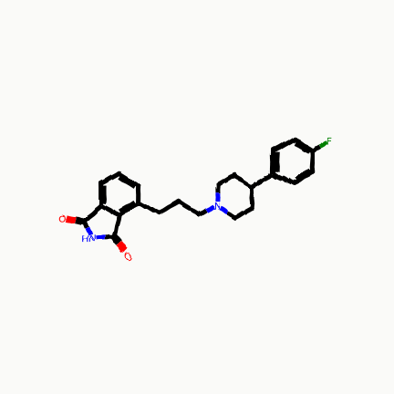 O=C1NC(=O)c2c(CCCN3CCC(c4ccc(F)cc4)CC3)cccc21